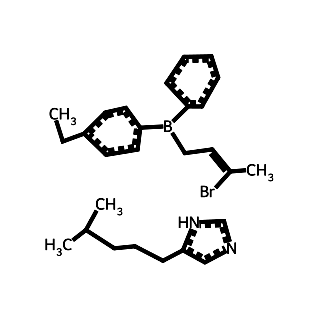 CC(C)CCCc1cnc[nH]1.CCc1ccc(B(CC=C(C)Br)c2ccccc2)cc1